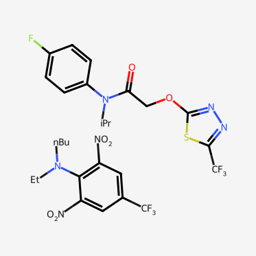 CC(C)N(C(=O)COc1nnc(C(F)(F)F)s1)c1ccc(F)cc1.CCCCN(CC)c1c([N+](=O)[O-])cc(C(F)(F)F)cc1[N+](=O)[O-]